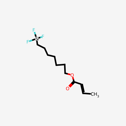 CC=CC(=O)OCCCCCCC[Si](F)(F)F